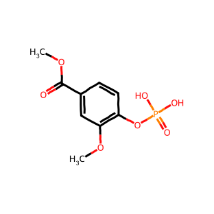 COC(=O)c1ccc(OP(=O)(O)O)c(OC)c1